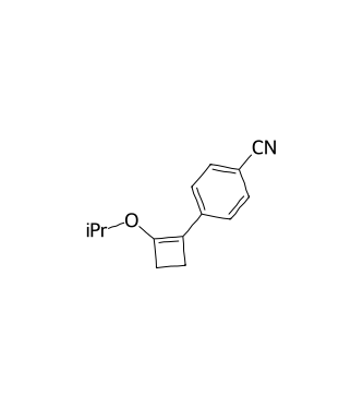 CC(C)OC1=C(c2ccc(C#N)cc2)CC1